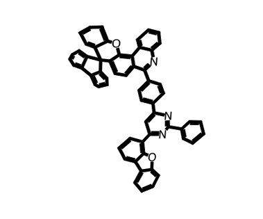 c1ccc(-c2nc(-c3ccc(-c4nc5ccccc5c5c6c(ccc45)C4(c5ccccc5O6)c5ccccc5-c5ccccc54)cc3)cc(-c3cccc4c3oc3ccccc34)n2)cc1